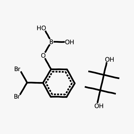 CC(C)(O)C(C)(C)O.OB(O)Oc1ccccc1C(Br)Br